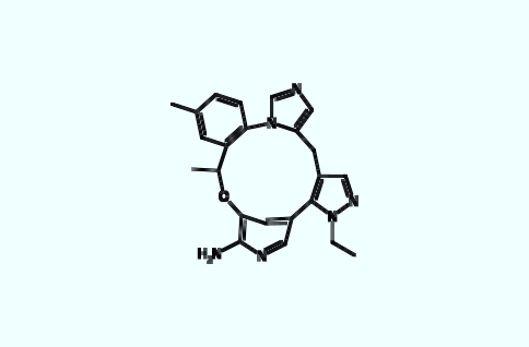 CCn1ncc2c1-c1cnc(N)c(c1)OC(C)c1cc(C)ccc1-n1cncc1C2